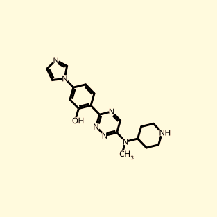 CN(c1cnc(-c2ccc(-n3ccnc3)cc2O)nn1)C1CCNCC1